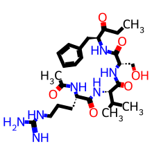 CCC(=O)[C@H](Cc1ccccc1)NC(=O)[C@H](CO)NC(=O)[C@@H](NC(=O)[C@H](CCCNC(=N)N)NC(C)=O)C(C)C